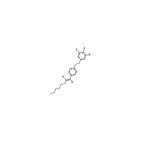 CCCCCCC(F)=C(F)c1ccc(CCc2cc(F)c(F)c(F)c2)cc1